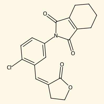 O=C1OCCC1=Cc1cc(N2C(=O)C3=C(CCCC3)C2=O)ccc1Cl